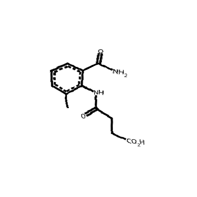 Cc1cccc(C(N)=O)c1NC(=O)CCC(=O)O